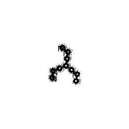 c1ccc(-c2cccc(-c3ccc(-c4cc(-c5ccc(-c6cccc(-c7cccnc7)n6)cc5)cc(-c5ccc(-c6cccc(-c7cccnc7)n6)cc5)c4)cc3)n2)cc1